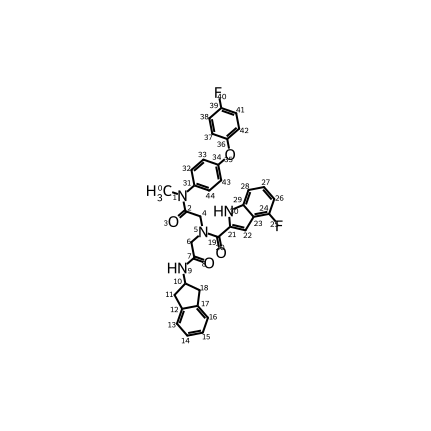 CN(C(=O)CN(CC(=O)NC1Cc2ccccc2C1)C(=O)c1cc2c(F)cccc2[nH]1)c1ccc(Oc2ccc(F)cc2)cc1